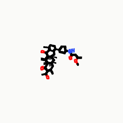 COC(C)CC(=O)Nc1ccc(-c2ccc(C)c3c2C[C@@]2(C)C[C@@]4(C)CC(C)=C(C(C)=O)C(=O)C4(C)C(C)=C2C3=O)cc1